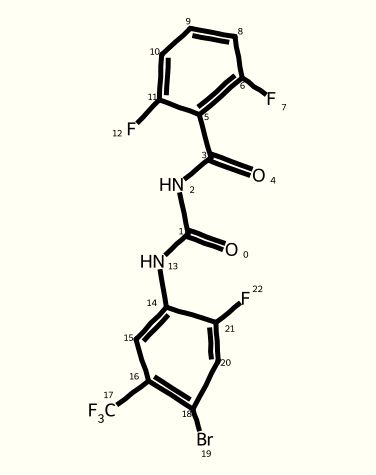 O=C(NC(=O)c1c(F)cccc1F)Nc1cc(C(F)(F)F)c(Br)cc1F